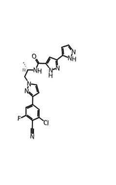 C[C@@H](Cn1ccc(-c2cc(F)c(C#N)c(Cl)c2)n1)NC(=O)c1cc(-c2ccn[nH]2)n[nH]1